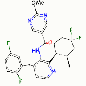 COc1ncc(C(=O)Nc2c(-c3cc(F)ccc3F)ccnc2[C@H]2CCC(F)(F)C[C@H]2C)cn1